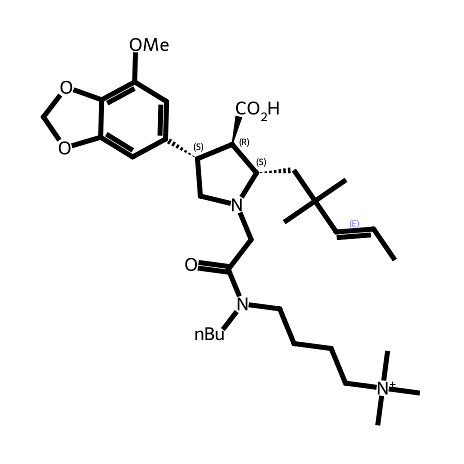 C/C=C/C(C)(C)C[C@H]1[C@H](C(=O)O)[C@@H](c2cc(OC)c3c(c2)OCO3)CN1CC(=O)N(CCCC)CCCC[N+](C)(C)C